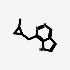 CC1CC1Cc1nncc2cc[nH]c12